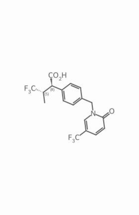 C[C@@H]([C@@H](C(=O)O)c1ccc(Cn2cc(C(F)(F)F)ccc2=O)cc1)C(F)(F)F